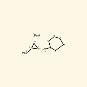 CCCCC[C@H]1N(C=O)N1OC1CCCCC1